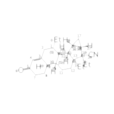 CC[C@H]1CC2=CC(=O)CC[C@@H]2[C@H]2CC[C@@]3(CC)[C@@H]([C@@H]4C[C@@H]4[C@@]3(C#N)CC)[C@H]12